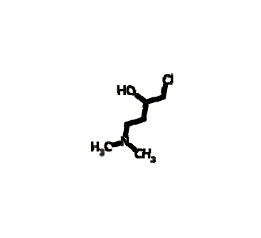 CN(C)CCC(O)CCl